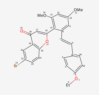 CCOc1ccc(C=Cc2cc(OC)cc(OC)c2-c2cc(=O)c3cc(Br)ccc3o2)cc1